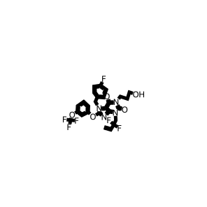 C=CC(F)(F)Cn1c(=O)n(CCCO)c(=O)c2c1nc(Oc1cccc(OC(F)(F)F)c1)n2Cc1ccc(F)cc1